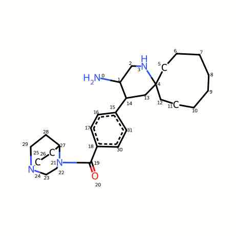 NC1CNC2(CCCCCCCC2)CC1c1ccc(C(=O)N2CCN3CCC2CC3)cc1